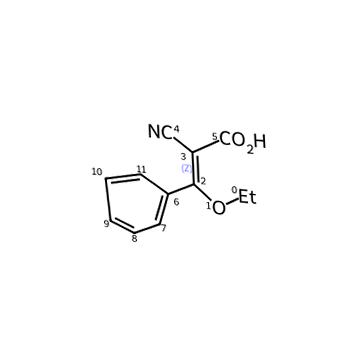 CCO/C(=C(/C#N)C(=O)O)c1ccccc1